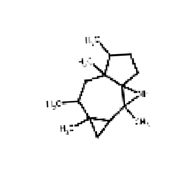 CC1CC2(C)C(C)CCC23NC3(C)C2CC12C